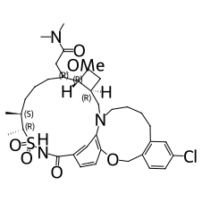 CO[C@@]1(CC(=O)N(C)C)CCC[C@H](C)[C@@H](C)S(=O)(=O)NC(=O)c2ccc3c(c2)N(CCCCc2cc(Cl)ccc2CO3)C[C@@H]2CC[C@H]21